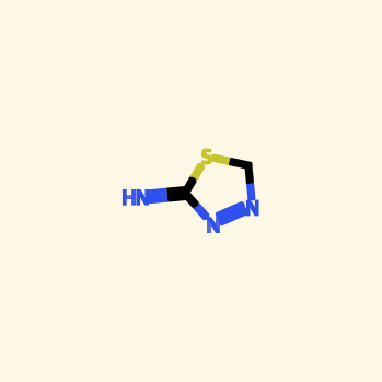 N=C1N=NCS1